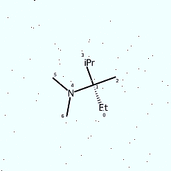 CC[C@@](C)(C(C)C)N(C)C